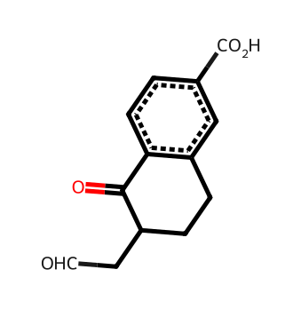 O=CCC1CCc2cc(C(=O)O)ccc2C1=O